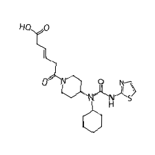 O=C(O)CC=CCC(=O)N1CCC(N(C(=O)Nc2nccs2)C2CCCCC2)CC1